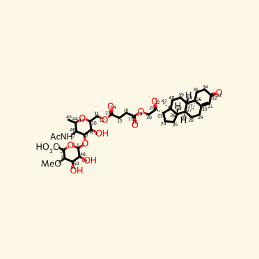 COC1C(C(=O)O)OC(OC2C(O)C(COC(=O)CCC(=O)OCC(=O)[C@H]3CC[C@H]4[C@@H]5CCC6=CC(=O)CC[C@]6(C)[C@H]5CC[C@]34C)OC(C)C2NC(C)=O)C(O)C1O